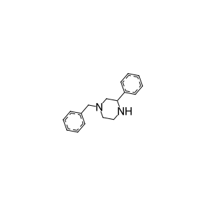 c1ccc(CN2CCNC(c3ccccc3)C2)cc1